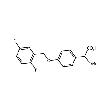 CC(C)COC(C(=O)O)c1ccc(OCc2cc(F)ccc2F)cc1